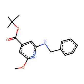 COc1cc(C(=O)OC(C)(C)C)cc(NCc2ccccc2)n1